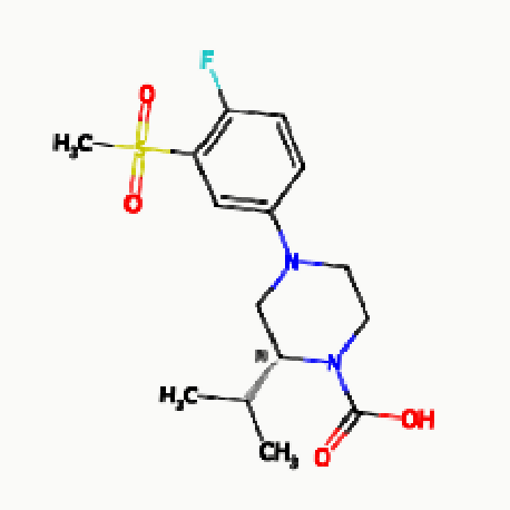 CC(C)[C@@H]1CN(c2ccc(F)c(S(C)(=O)=O)c2)CCN1C(=O)O